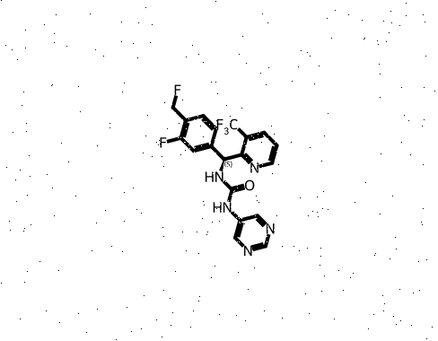 O=C(Nc1cncnc1)N[C@@H](c1ccc(CF)c(F)c1)c1ncccc1C(F)(F)F